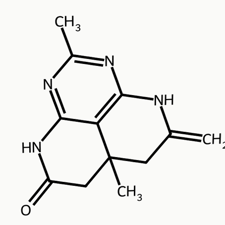 C=C1CC2(C)CC(=O)Nc3nc(C)nc(c32)N1